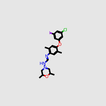 Cc1cc(Oc2cc(Cl)cc(I)c2)c(C)cc1N=CNN1CC(C)OC(C)C1